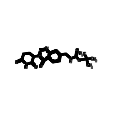 CC(C)(C)OC(=O)NCc1ccc2c(=O)n(C3CCC(=O)NC3=O)nnc2c1